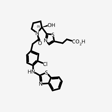 O=C(O)CCc1cnc([C@@]2(O)CCCN2C(=O)Cc2ccc(Nc3nc4ccccc4s3)c(Cl)c2)s1